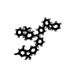 Cc1cc(C)c2c(c1)C(C)(C)c1ccc(-c3cccc(N(c4ccc(-c5cccc6c5oc5ccccc56)cc4)c4ccc5c(c4)C(C)(C)c4ccccc4-5)c3)cc1-2